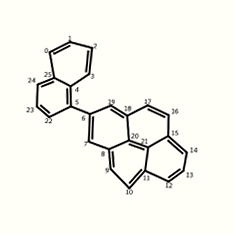 [c]1cccc2c(-c3cc4ccc5cccc6ccc(c3)c4c56)cccc12